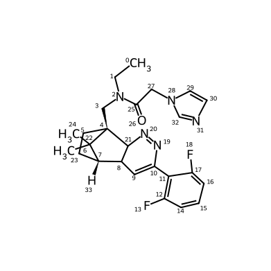 CCN(C[C@@]12CC[C@@H](C3C=C(c4c(F)cccc4F)N=NC31)C2(C)C)C(=O)Cn1ccnc1